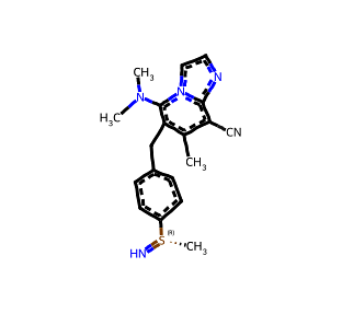 Cc1c(Cc2ccc([S@](C)=N)cc2)c(N(C)C)n2ccnc2c1C#N